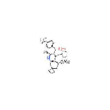 CO[C@H]1CC2(CCC2)Cc2nc(C(C)C)c([C@@H](O)c3ccc(C(F)(F)F)cc3)c(C3CCCC3)c21